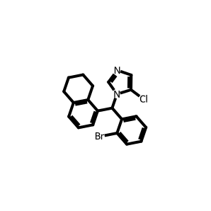 Clc1cncn1C(c1ccccc1Br)c1cccc2c1CCCC2